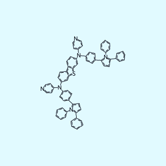 c1ccc(-c2ccc(-c3ccc(N(c4ccncc4)c4ccc5c(c4)sc4cc(N(c6ccncc6)c6ccc(-c7ccc(-c8ccccc8)n7-c7ccccc7)cc6)ccc45)cc3)n2-c2ccccc2)cc1